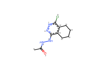 CC(=O)NNc1nnc(Cl)c2c1CCCC2